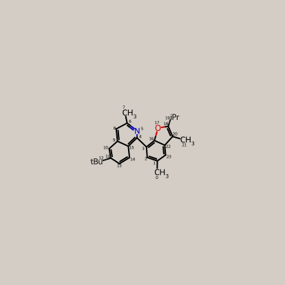 Cc1cc(-c2nc(C)cc3cc(C(C)(C)C)ccc23)c2oc(C(C)C)c(C)c2c1